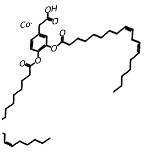 CCCCC/C=C\C/C=C\CCCCCCCC(=O)Oc1ccc(CC(=O)O)cc1OC(=O)CCCCCCC/C=C\C/C=C\CCCCC.[Co]